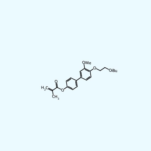 C=C(C)C(=O)Oc1ccc(-c2ccc(OCCOCC(C)C)c(OC)c2)cc1